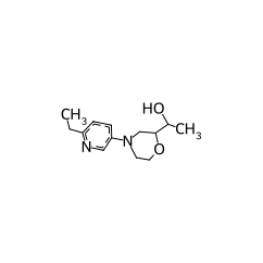 CCc1ccc(N2CCOC(C(C)O)C2)cn1